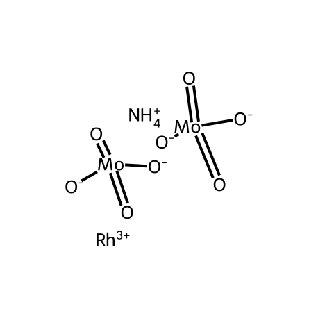 [NH4+].[O]=[Mo](=[O])([O-])[O-].[O]=[Mo](=[O])([O-])[O-].[Rh+3]